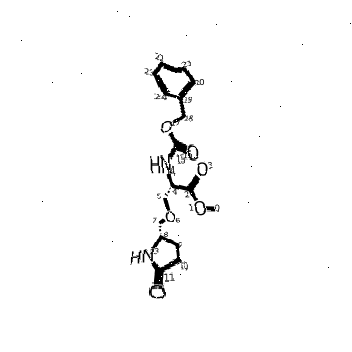 COC(=O)[C@H](COC[C@@H]1CCC(=O)N1)NC(=O)OCc1ccccc1